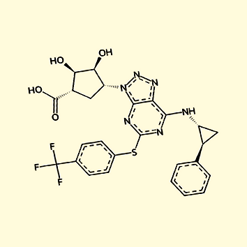 O=C(O)[C@H]1C[C@@H](n2nnc3c(N[C@@H]4C[C@H]4c4ccccc4)nc(Sc4ccc(C(F)(F)F)cc4)nc32)[C@H](O)[C@@H]1O